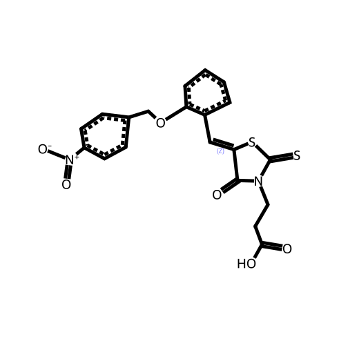 O=C(O)CCN1C(=O)/C(=C/c2ccccc2OCc2ccc([N+](=O)[O-])cc2)SC1=S